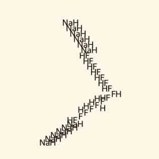 F.F.F.F.F.F.F.F.F.F.F.F.F.F.F.[NaH].[NaH].[NaH].[NaH].[NaH].[NaH].[NaH].[NaH].[NaH].[NaH].[NaH].[NaH]